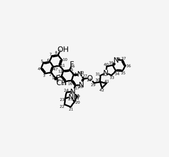 C#Cc1cccc2cc(O)cc(-c3c(F)cc4c(N5CC6CCC(C5)N6)nc(OCC5(CN6Cc7cccnc7C6)CC5)nc4c3F)c12